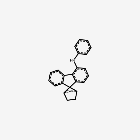 c1ccc(Nc2cccc3c2-c2ccccc2C32C3CCC2CC3)cc1